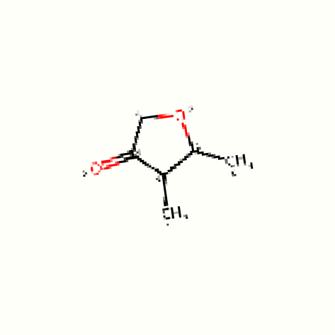 C[C]1OCC(=O)C1C